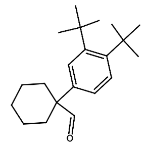 CC(C)(C)c1ccc(C2(C=O)CCCCC2)cc1C(C)(C)C